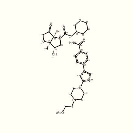 COCCN1CCN(c2nc(-c3ccc(C(=O)N[C@H](C(=O)N4C[C@H](O)[C@H]5OCC(=O)[C@H]54)C4CCCCC4)cc3)cs2)CC1